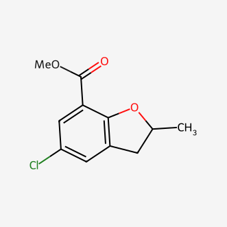 COC(=O)c1cc(Cl)cc2c1OC(C)C2